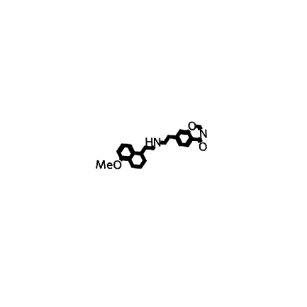 COc1cccc2c1CCCC2CCNCCc1ccc2c(=O)ncoc2c1